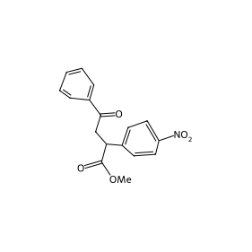 COC(=O)C(CC(=O)c1ccccc1)c1ccc([N+](=O)[O-])cc1